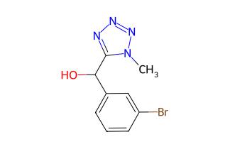 Cn1nnnc1C(O)c1cccc(Br)c1